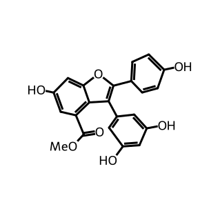 COC(=O)c1cc(O)cc2oc(-c3ccc(O)cc3)c(-c3cc(O)cc(O)c3)c12